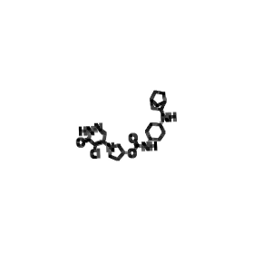 O=C(N[C@H]1CC[C@@H](NC2CC3CCC2C3)CC1)O[C@@H]1CCN(c2cn[nH]c(=O)c2Cl)C1